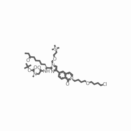 CCC(=O)CCCCC[C@H](NC(=O)CN(C)C(=O)OC(C)(C)C)c1nc(-c2ccc3c(=O)n(CCCCOCCCCCl)ccc3c2)cn1COCC[Si](C)(C)C